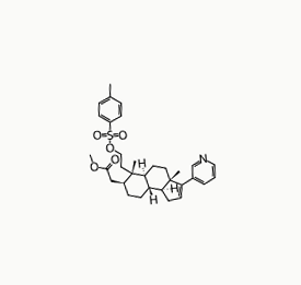 COC(=O)C[C@@H]1CC[C@@H]2[C@H](CC[C@]3(C)C(c4cccnc4)=CC[C@@H]23)[C@@]1(C)CCOS(=O)(=O)c1ccc(C)cc1